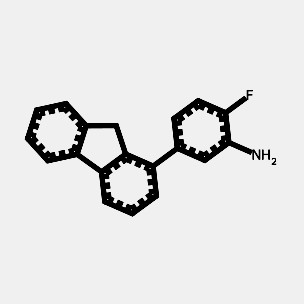 Nc1cc(-c2cccc3c2Cc2ccccc2-3)ccc1F